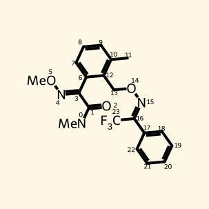 CNC(=O)/C(=N/OC)c1cccc(C)c1CO/N=C(/c1ccccc1)C(F)(F)F